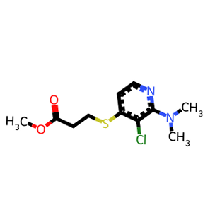 COC(=O)CCSc1ccnc(N(C)C)c1Cl